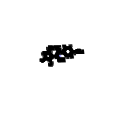 CCn1nc(C)c(F)c1/C(O)=C(\C#N)c1ccc(C(C)(C)C)cc1